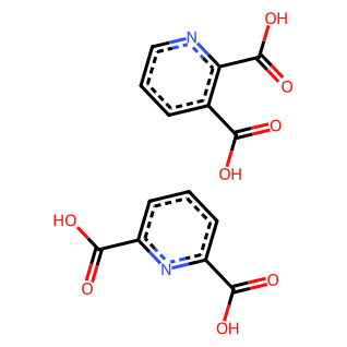 O=C(O)c1cccc(C(=O)O)n1.O=C(O)c1cccnc1C(=O)O